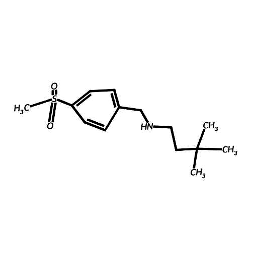 CC(C)(C)CCNCc1ccc(S(C)(=O)=O)cc1